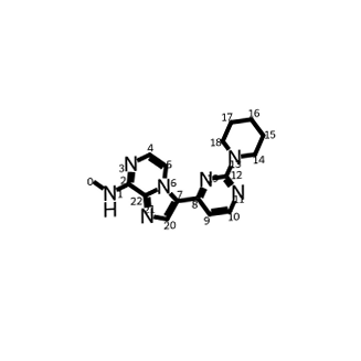 CNc1nccn2c(-c3ccnc(N4CCCCC4)n3)cnc12